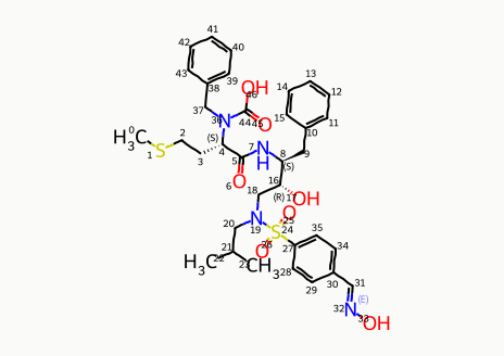 CSCC[C@@H](C(=O)N[C@@H](Cc1ccccc1)[C@H](O)CN(CC(C)C)S(=O)(=O)c1ccc(/C=N/O)cc1)N(Cc1ccccc1)C(=O)O